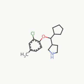 Cc1ccc(OC(C2CCCC2)C2CCNC2)c(Cl)c1